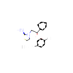 Cc1ccc(S(=O)(=O)O)cc1.N=C1SCCN1CC(O)c1ccccc1